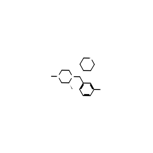 C[C@H]1CN(C)CCN1[C@@H](c1cccc(F)c1)C1CCNCC1